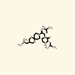 CC(C)C[C@@H]1NCCN([C@@H](CC(C)C)C(=O)N2CCC3(CC2)SCC(CN(C)C)CS3)C1=O